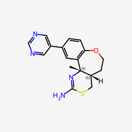 C[C@]12N=C(N)SC[C@H]1CCOc1ccc(-c3cncnc3)cc12